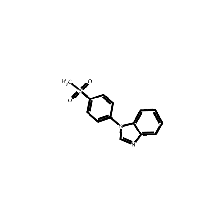 CS(=O)(=O)c1ccc(-n2cnc3ccccc32)cc1